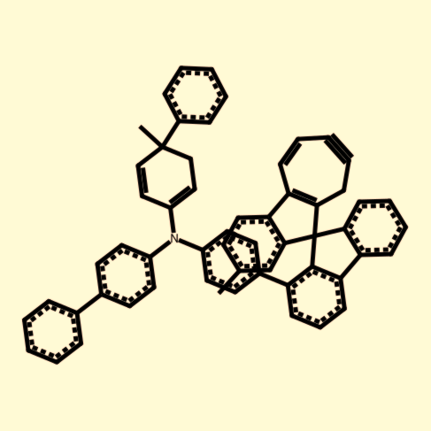 Cc1ccc2c(c1)C1(C3=C2C=CC#CC3)c2ccccc2-c2cccc(-c3ccc(N(C4=CCC(C)(c5ccccc5)C=C4)c4ccc(-c5ccccc5)cc4)cc3)c21